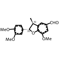 COc1ccc([C@H]2Oc3c(OC)cc(C=O)cc3[C@@H]2C)cc1OC